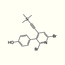 C[Si](C)(C)C#Cc1cc(Br)nc(Br)c1-c1ccc(O)cc1